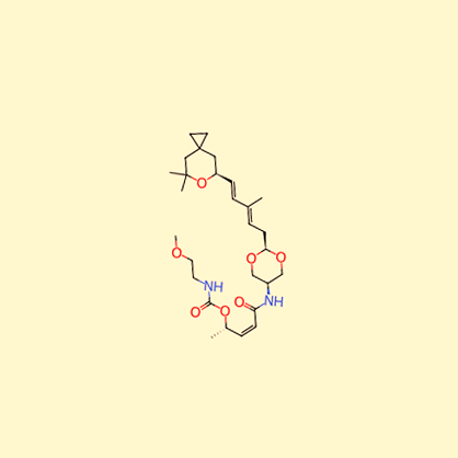 COCCNC(=O)O[C@@H](C)/C=C\C(=O)N[C@H]1CO[C@@H](C/C=C(C)/C=C/[C@@H]2CC3(CC3)CC(C)(C)O2)OC1